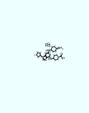 CCC(=O)N1CCC(Nc2nc(NC3CCC(N)CC3)nc3c2ncn3C2CCCC2)CC1.Cl.Cl